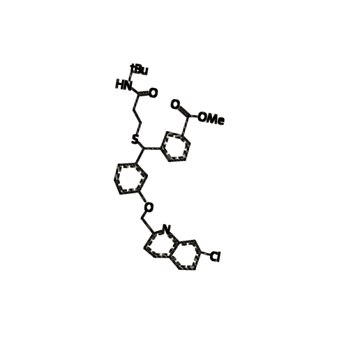 COC(=O)c1cccc(C(SCCC(=O)NC(C)(C)C)c2cccc(OCc3ccc4ccc(Cl)cc4n3)c2)c1